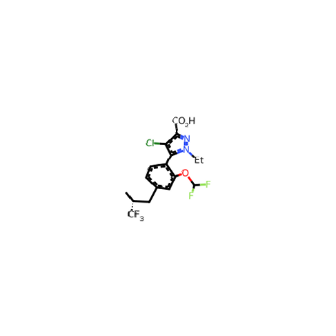 CCn1nc(C(=O)O)c(Cl)c1-c1ccc(C[C@@H](C)C(F)(F)F)cc1OC(F)F